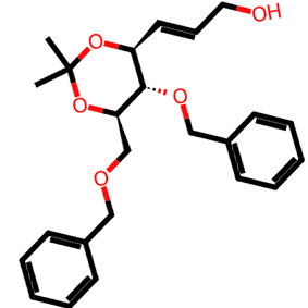 CC1(C)O[C@@H](/C=C/CO)[C@H](OCc2ccccc2)[C@@H](COCc2ccccc2)O1